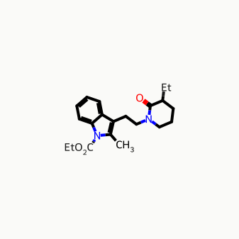 CCOC(=O)n1c(C)c(CCN2CCCC(CC)C2=O)c2ccccc21